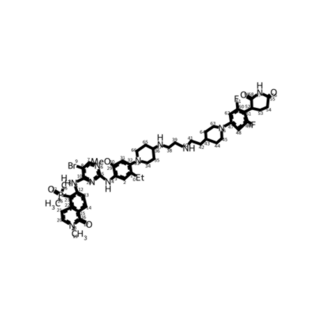 CCc1cc(Nc2ncc(Br)c(Nc3ccc4c(=O)n(C)ccc4c3P(C)(C)=O)n2)c(OC)cc1N1CCC(NCCNCCC2CCN(c3cc(F)c(C4CCC(=O)NC4=O)c(F)c3)CC2)CC1